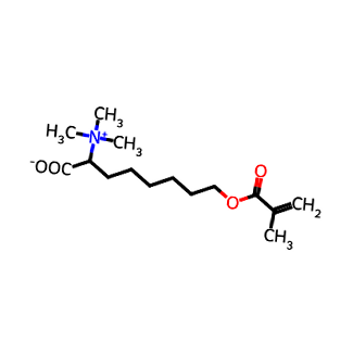 C=C(C)C(=O)OCCCCCCC(C(=O)[O-])[N+](C)(C)C